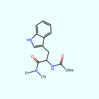 CCN(C#N)C(=O)C(Cc1c[nH]c2ccccc12)NC(=O)OC